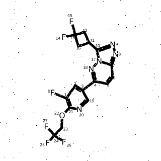 Fc1cc(-c2ccc3nnc(C4CC(F)(F)C4)n3n2)cnc1OCC(F)(F)F